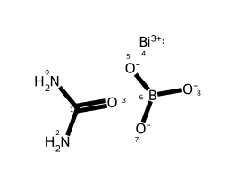 NC(N)=O.[Bi+3].[O-]B([O-])[O-]